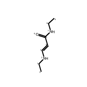 CCNC=CC(=O)NCC